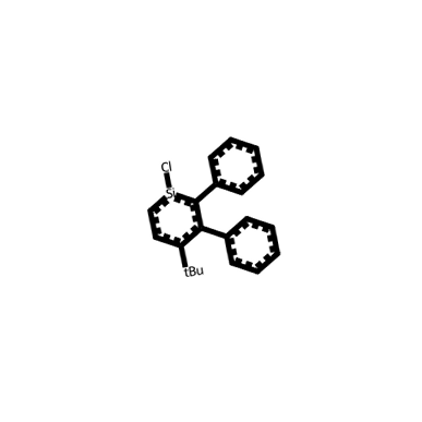 CC(C)(C)c1cc[si](Cl)c(-c2ccccc2)c1-c1ccccc1